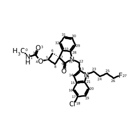 CNC(=O)O[C@H]1C[C@@]2(C1)C(=O)N(Cc1cc3cc(Cl)ccc3n1CCCCF)c1ccccc12